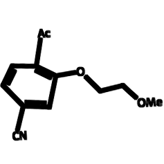 COCCOc1cc(C#N)ccc1C(C)=O